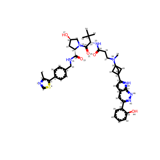 Cc1ncsc1-c1ccc(CNC(=O)[C@@H]2C[C@@H](O)CN2C(=O)[C@@H](NC(=O)CCN(C)C23CC(c4cc5cc(-c6ccccc6O)nnc5[nH]4)(C2)C3)C(C)(C)C)cc1